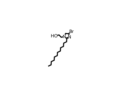 CCCCCCCCCCCCC1=NC(Br)CN1CCO